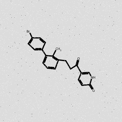 Cc1c(CCC(=O)c2ccc(=O)[nH]c2)cccc1-c1ccc(Br)cc1